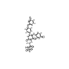 C[C@@H](Cn1c(=O)cc(-c2ccc(Sc3cccc(F)n3)cc2)n(Cc2ccc(Cl)cc2)c1=O)C(=O)NS(C)(=O)=O